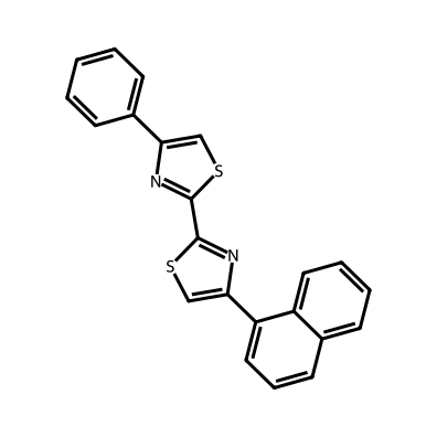 c1ccc(-c2csc(-c3nc(-c4cccc5ccccc45)cs3)n2)cc1